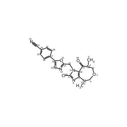 CN1COCN(C)c2nc(Cl)n(Cc3nnc(-c4ccc(C#N)cc4)o3)c2C1=O